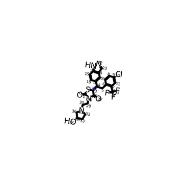 O=C1S/C(=C(/Cc2ccc(Cl)cc2C(F)(F)F)c2ccc3[nH]ncc3c2)C(=O)N1CCN1CC[C@H](O)C1